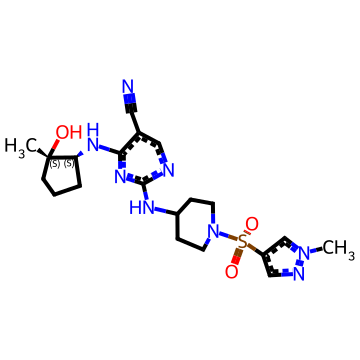 Cn1cc(S(=O)(=O)N2CCC(Nc3ncc(C#N)c(N[C@H]4CCC[C@]4(C)O)n3)CC2)cn1